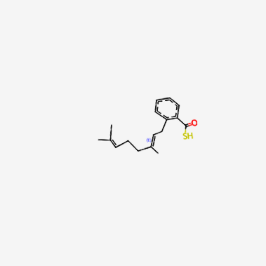 CC(C)=CCC/C(C)=C/Cc1ccccc1C(=O)S